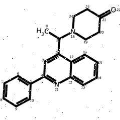 CC(c1cc(-c2ccccc2)nc2ccccc12)N1CCC(=O)CC1